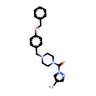 Cc1cnn(C(=O)N2CCN(Cc3ccc(OCc4ccccc4)cc3)CC2)c1